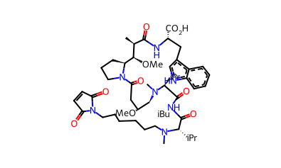 CC[C@H](C)[C@@H]([C@@H](CC(=O)N1CCC[C@H]1[C@H](OC)[C@@H](C)C(=O)N[C@@H](Cc1c[nH]c2ccccc12)C(=O)O)OC)N(C)[C@H](C(=O)NC(=O)[C@H](C(C)C)N(C)CCCCCCN1C(=O)C=CC1=O)C(C)C